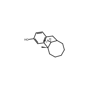 C[C@@]12CCCCCC(Cc3ccc(O)cc31)[C@@H]2N